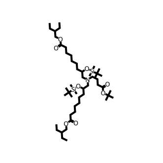 CCC(CC)COC(=O)CCCCCCC(CN(CCCC(=O)OC(C)(C)C)CC(CCCCCCC(=O)OCC(CC)CC)O[Si](C)(C)C(C)(C)C)O[Si](C)(C)C(C)(C)C